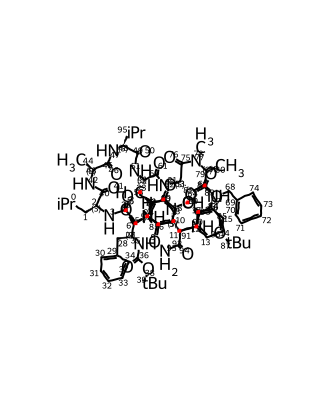 CC(C)C[C@H](NC(=O)CNC(=O)[C@H](Cc1ccccc1)N(C)C(=O)[C@H](C)NC(=O)[C@H](Cc1ccccc1)NC(=O)OC(C)(C)C)C(=O)N[C@@H](C)C(=O)N[C@H](C(=O)N[C@@H](Cc1ccccc1)C(=O)N[C@@H](CC(=O)OCc1ccccc1)C(=O)N(C)[C@@H](C)C(=O)N[C@@H](COC(C)(C)C)C(=O)NCC(N)=O)C(C)C